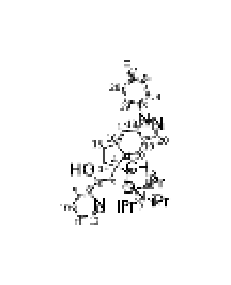 CC(C)[Si](OC[C@@]1(CC(O)c2ccccn2)CCC2=Cc3c(cnn3-c3ccc(F)cc3)C[C@@]21C)(C(C)C)C(C)C